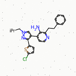 CC(C)Cn1cc(-c2ccnc(CCc3ccccc3)c2N)c(-c2ccc(Cl)s2)n1